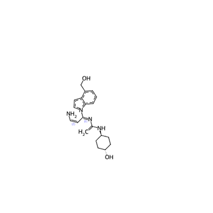 C=C(/N=C(\C=C/N)n1ccc2c(CO)cccc21)N[C@H]1CC[C@H](O)CC1